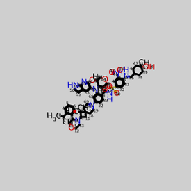 CC(C)c1ccccc1[C@@H]1COCCN1[C@@H]1CC2(CCN(c3ccc(C(=O)NS(=O)(=O)c4ccc(NCC5CCC(C)(O)CC5)c([N+](=O)[O-])c4)c(N4c5cc6cc[nH]c6nc5O[C@H]5COCC[C@@H]54)c3)CC2)C1(C)C